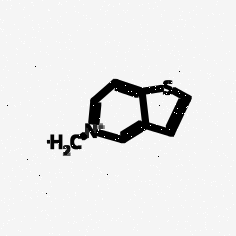 [CH2][n+]1ccc2sccc2c1